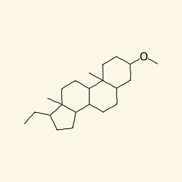 CCC1CCC2C3CCC4CC(OC)CCC4(C)C3CCC12C